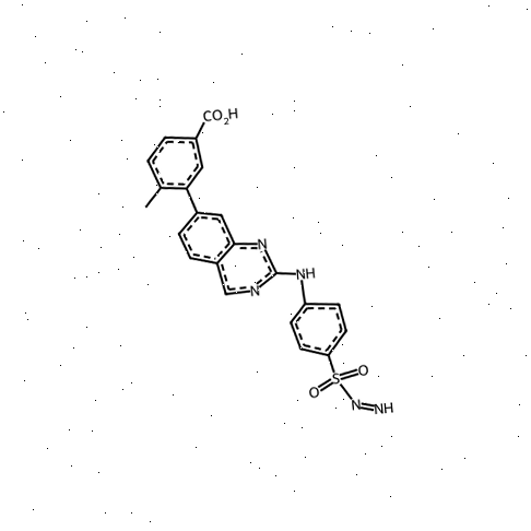 Cc1ccc(C(=O)O)cc1-c1ccc2cnc(Nc3ccc(S(=O)(=O)N=N)cc3)nc2c1